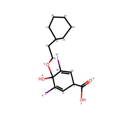 O=C(O)C1C=C(I)C(O)(OCCC2CCCCC2)C(I)=C1